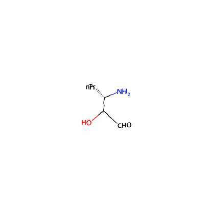 CCC[C@H](N)C(O)C=O